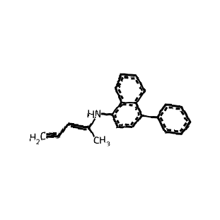 C=C/C=C(\C)Nc1ccc(-c2ccccc2)c2ccccc12